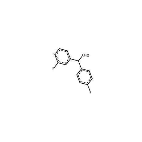 O=CC(c1ccc(F)cc1)c1ccnc(F)c1